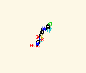 O=C(O)N1CC[C@@H](N2C(=O)S/C(=C\c3ccc4c(cnn4Cc4ccc(Cl)cc4C(F)(F)F)c3)C2=O)[C@H](F)C1